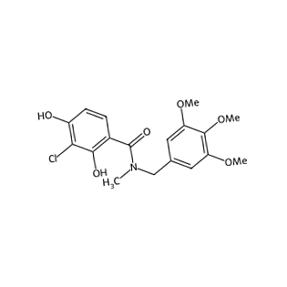 COc1cc(CN(C)C(=O)c2ccc(O)c(Cl)c2O)cc(OC)c1OC